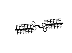 CC(F)(F)C(F)(F)C(F)(F)C(F)(F)C(F)(F)C(F)(F)OC(=O)/C=C/C(=O)OC(F)(F)C(F)(F)C(F)(F)C(F)(F)C(F)(F)C(C)(F)F